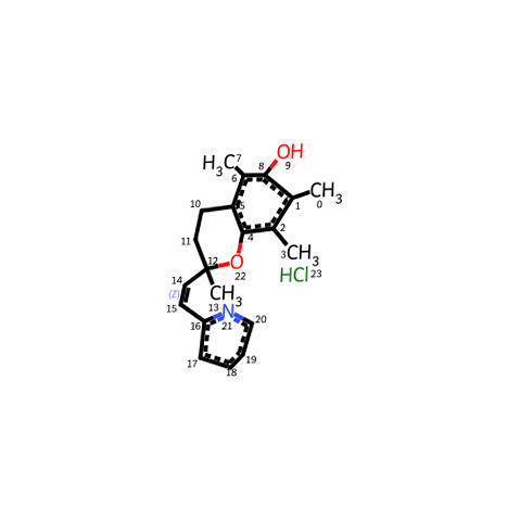 Cc1c(C)c2c(c(C)c1O)CCC(C)(/C=C\c1ccccn1)O2.Cl